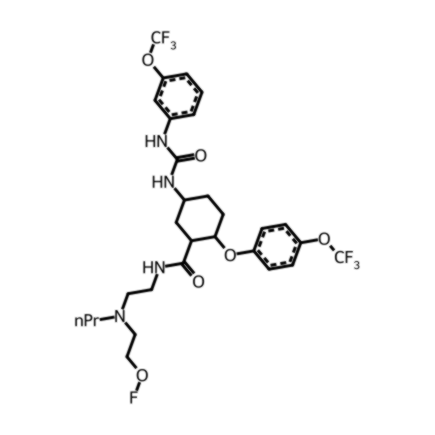 CCCN(CCNC(=O)C1CC(NC(=O)Nc2cccc(OC(F)(F)F)c2)CCC1Oc1ccc(OC(F)(F)F)cc1)CCOF